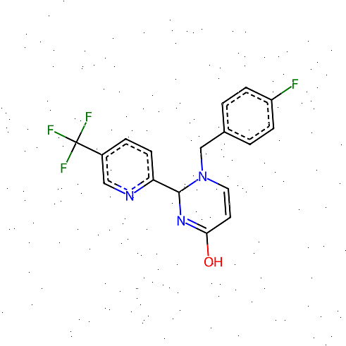 OC1=NC(c2ccc(C(F)(F)F)cn2)N(Cc2ccc(F)cc2)C=C1